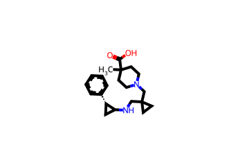 CC1(C(=O)O)CCN(CC2(CNC3C[C@@H]3c3ccccc3)CC2)CC1